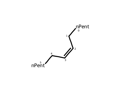 CCCCCC/C=C\CCCCCC